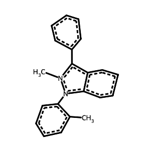 Cc1ccccc1-n1c2ccccc2c(-c2ccccc2)[n+]1C